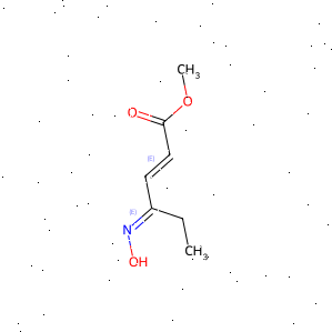 CCC(/C=C/C(=O)OC)=N\O